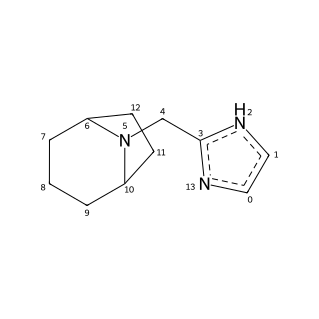 c1c[nH]c(CN2C3CCCC2CC3)n1